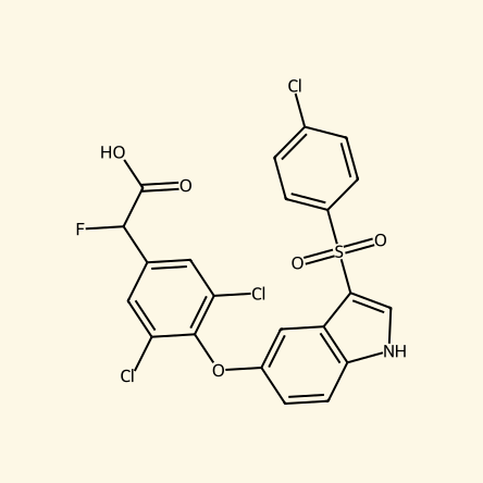 O=C(O)C(F)c1cc(Cl)c(Oc2ccc3[nH]cc(S(=O)(=O)c4ccc(Cl)cc4)c3c2)c(Cl)c1